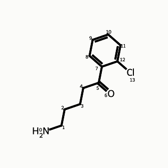 NCCCCC(=O)c1ccccc1Cl